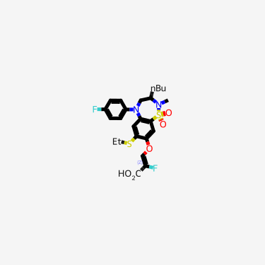 CCCCC1CN(c2ccc(F)cc2)c2cc(SCC)c(O/C=C(\F)C(=O)O)cc2S(=O)(=O)N1C